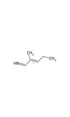 CC/C=C(\C)C=N